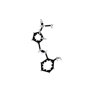 Nc1ccccc1/N=N/c1ccn([N+](=O)[O-])n1